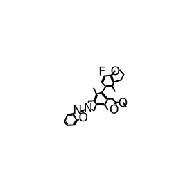 COC(=O)Cc1c(C)c2c(c(C)c1-c1cc(F)c3c(c1C)CCCO3)CN(c1nc3ccccc3o1)C2